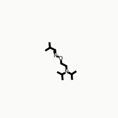 CC(C)/C=N/OCCN(C(C)C)C(C)C